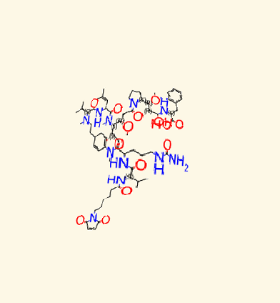 CC[C@H](C)[C@@H]([C@@H](CC(=O)N1CCC[C@H]1[C@H](OC)[C@@H](C)C(O)N[C@@H](Cc1ccccc1)C(=O)O)OC)N(C)C(=O)C(C=C(C)C)NC(=O)[C@H](C(C)C)N(C)CCC1C=CC(N(C)C(=O)C(CCCNC(N)=O)NC(=O)[C@@H](NC(=O)CCCCCN2C(=O)C=CC2=O)C(C)C)=CC1